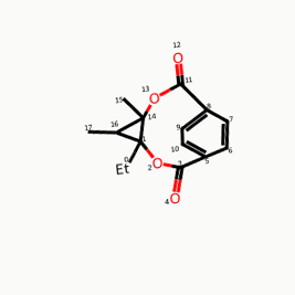 CCC12OC(=O)c3ccc(cc3)C(=O)OC1(C)C2C